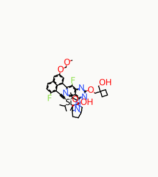 COCOc1cc(-c2ncc3c(N4CC5CCC(C4)N5C(=O)O)nc(OCC4(CO)CCC4)nc3c2F)c2c(C#C[Si](C(C)C)(C(C)C)C(C)C)c(F)ccc2c1